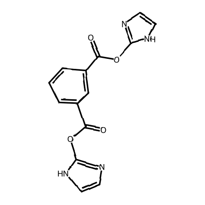 O=C(Oc1ncc[nH]1)c1cccc(C(=O)Oc2ncc[nH]2)c1